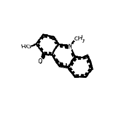 Cn1c2ccc(O)c(=O)c-2cc2ccccc21